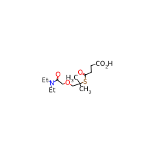 CCN(CC)C(=O)COCC(C)(C)SC(=O)CCC(=O)O